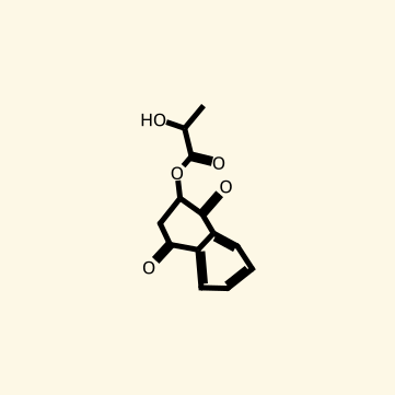 CC(O)C(=O)OC1CC(=O)c2ccccc2C1=O